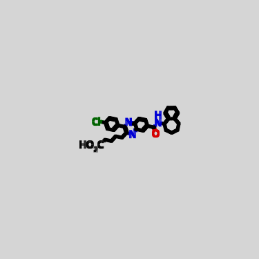 O=C(O)CCCCc1nc2cc(C(=O)NC3CCCCc4ccccc43)ccc2nc1-c1ccc(Cl)cc1